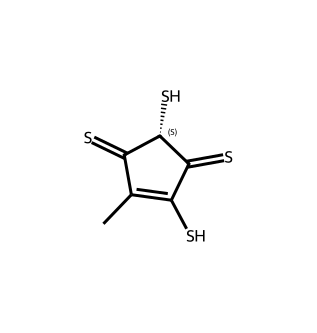 CC1=C(S)C(=S)[C@@H](S)C1=S